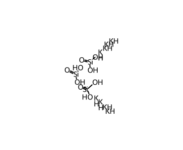 O=[Si](O)O.O=[Si](O)O.O=[Si](O)O.[KH].[KH].[KH].[KH].[KH].[KH].[KH].[KH]